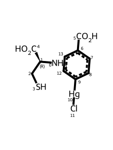 N[C@@H](CS)C(=O)O.O=C(O)c1cc[c]([Hg][Cl])cc1